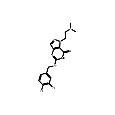 CN(C)CCn1ncc2nc(NCc3ccc(Cl)c(Cl)c3)[nH]c(=O)c21